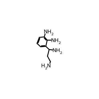 NCCC(N)c1cccc(N)c1N